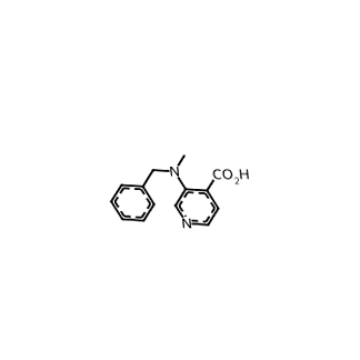 CN(Cc1ccccc1)c1cnccc1C(=O)O